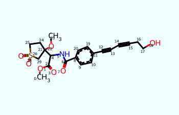 COC(=O)C(NC(=O)c1ccc(C#CC#CCCO)cc1)C1(OC)CCS(=O)(=O)C1